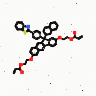 C=CC(=O)OCCOc1ccc2c(c1)C(c1ccc(-c3nc4ccccc4s3)cc1)(c1ccc3ccccc3c1)c1cc3ccc(OCCOC(=O)C=C)cc3cc1-2